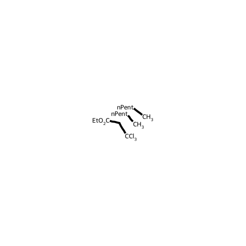 CCCCCC.CCCCCC.CCOC(=O)CC(Cl)(Cl)Cl